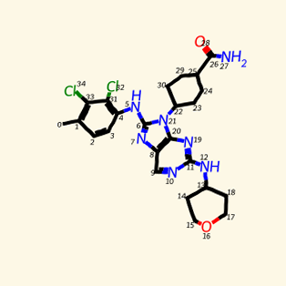 Cc1ccc(Nc2nc3cnc(NC4CCOCC4)nc3n2C2CCC(C(N)=O)CC2)c(Cl)c1Cl